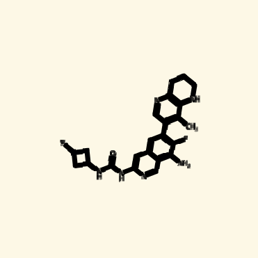 Cc1c(-c2cc3cc(NC(=O)NC4CC(F)C4)ncc3c(N)c2F)cnc2c1NCCC2